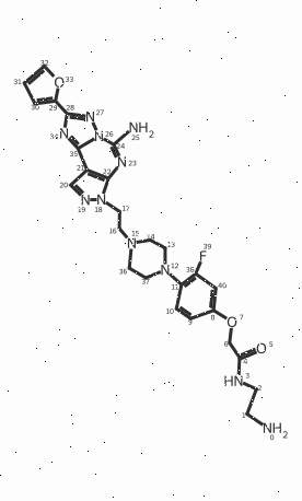 NCCNC(=O)COc1ccc(N2CCN(CCn3ncc4c3nc(N)n3nc(-c5ccco5)nc43)CC2)c(F)c1